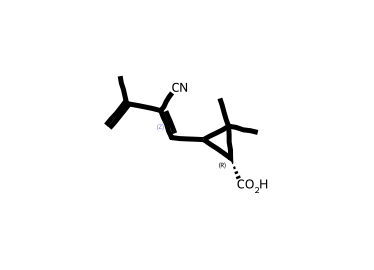 C=C(C)/C(C#N)=C/C1[C@@H](C(=O)O)C1(C)C